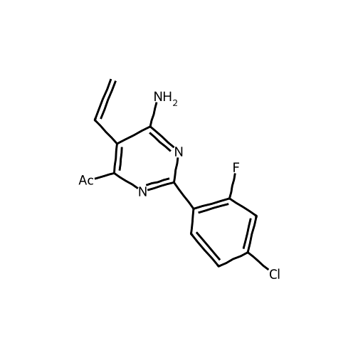 C=Cc1c(N)nc(-c2ccc(Cl)cc2F)nc1C(C)=O